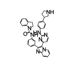 O=C(Nc1cccc(-c2nc3ccccn3c2-c2ccnc(Nc3ccc(C4CCNC4)cc3)n2)c1)N1CCc2ccccc21